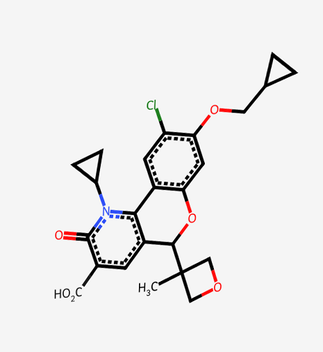 CC1(C2Oc3cc(OCC4CC4)c(Cl)cc3-c3c2cc(C(=O)O)c(=O)n3C2CC2)COC1